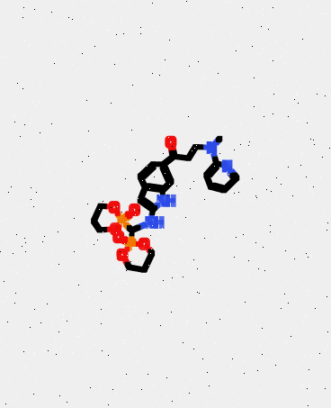 CN(CCC(=O)c1ccc2cc(NC(P3(=O)OCCCO3)P3(=O)OCCCO3)[nH]c2c1)c1ccccn1